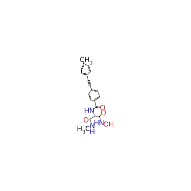 CNC(=O)C(NC(=O)c1ccc(C#Cc2ccc(C)cc2)cc1)C(=O)NO